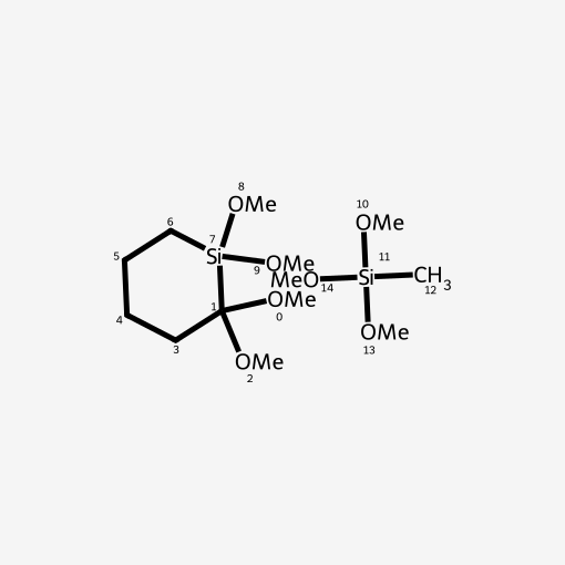 COC1(OC)CCCC[Si]1(OC)OC.CO[Si](C)(OC)OC